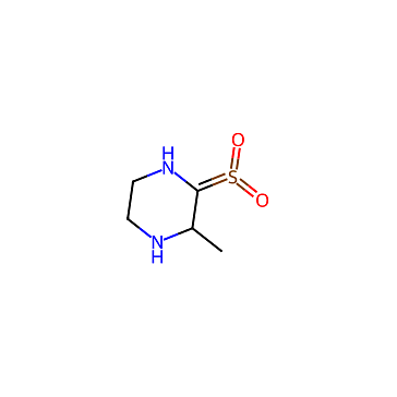 CC1NCCNC1=S(=O)=O